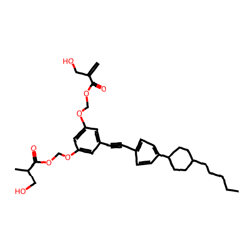 C=C(CO)C(=O)OCOc1cc(C#Cc2ccc(C3CCC(CCCCC)CC3)cc2)cc(OCOC(=O)C(C)CO)c1